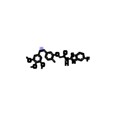 COc1cc(/C=C\c2ccc(C)c(OCC(=O)Nc3nc4cc(F)ccc4s3)c2)cc(OC)c1OC